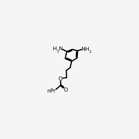 CCCC(=O)OCCCc1cc(N)cc(N)c1